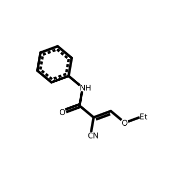 CCOC=C(C#N)C(=O)Nc1ccccc1